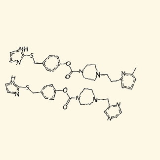 Cc1cccc(CCN2CCN(C(=O)Oc3ccc(CSc4ncc[nH]4)cc3)CC2)n1.O=C(Oc1ccc(CSc2ncc[nH]2)cc1)N1CCN(Cc2cnccn2)CC1